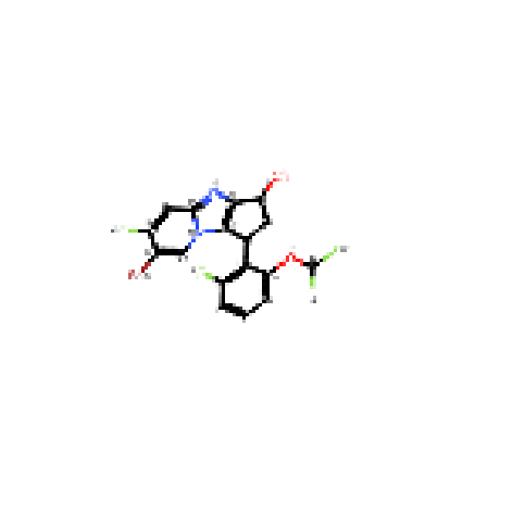 OC1CC(c2c(F)cccc2OC(F)F)c2c1nc1cc(F)c(Br)cn21